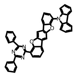 c1ccc(-c2nc(-c3ccccc3)nc(-c3cccc4c3oc3cc5c(cc34)oc3c(-n4c6ccccc6c6ccccc64)cccc35)n2)cc1